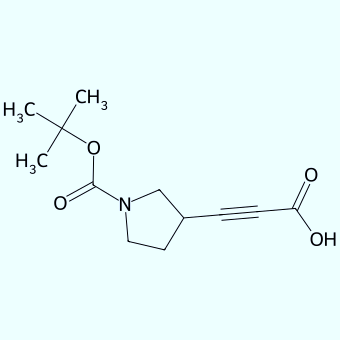 CC(C)(C)OC(=O)N1CCC(C#CC(=O)O)C1